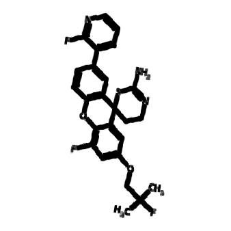 CC(C)(F)COc1cc(F)c2c(c1)C1(CCN=C(N)S1)c1cc(-c3cccnc3F)ccc1O2